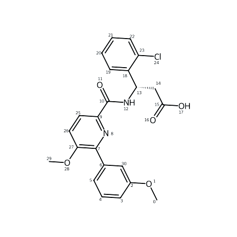 COc1cccc(-c2nc(C(=O)N[C@@H](CC(=O)O)c3ccccc3Cl)ccc2OC)c1